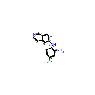 Nc1cc(Br)ccc1Nc1ccc2cnccc2c1